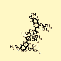 COc1ccc2c(OC(C)C)cc(-c3csc([N+](c4nc(-c5cc(OC(C)C)c6ccc(OC)cc6n5)cs4)(C(C)C)C(C)C)n3)nc2c1